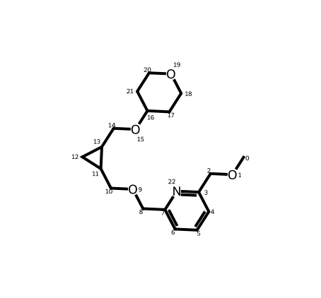 COCc1cccc(COCC2CC2COC2CCOCC2)n1